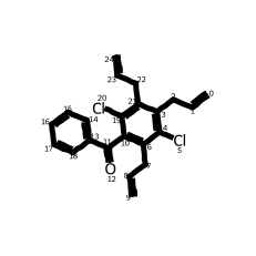 C=CCc1c(Cl)c(CC=C)c(C(=O)c2ccccc2)c(Cl)c1CC=C